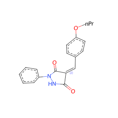 CCCOc1ccc(/C=C2/C(=O)NN(c3ccccc3)C2=O)cc1